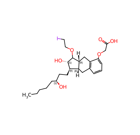 CCCCC[C@H](O)CC[C@@H]1[C@H]2Cc3cccc(OCC(=O)O)c3C[C@H]2C(OCCI)[C@H]1O